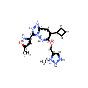 Cc1cc(-c2nnc3cc(C4CCC4)c(OCc4cnnn4C)nn23)no1